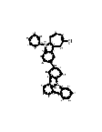 CCC1=CC=Cc2c(c3cc(-c4ccc5c(c4)c4cccc6c7ccccc7n5c64)ccc3n2-c2ccccc2)C1